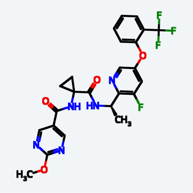 COc1ncc(C(=O)NC2(C(=O)N[C@H](C)c3ncc(Oc4ccccc4C(F)(F)F)cc3F)CC2)cn1